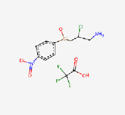 NCC(Cl)C[S+]([O-])c1ccc([N+](=O)[O-])cc1.O=C(O)C(F)(F)F